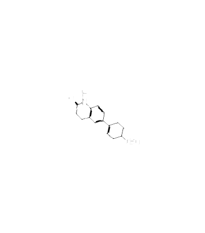 CC(C)(C)C1CC=C(c2ccc3c(c2)CCC(=O)N3)CC1